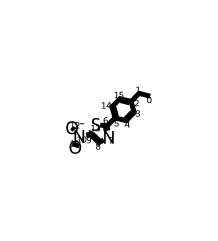 CCc1ccc(-c2ncc([N+](=O)[O-])s2)cc1